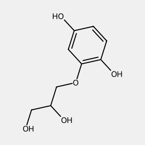 OCC(O)COc1cc(O)ccc1O